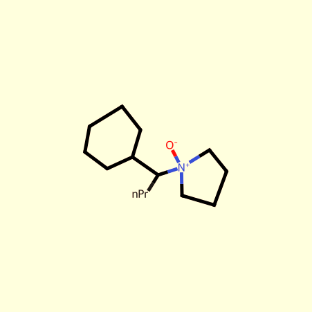 CCCC(C1CCCCC1)[N+]1([O-])CCCC1